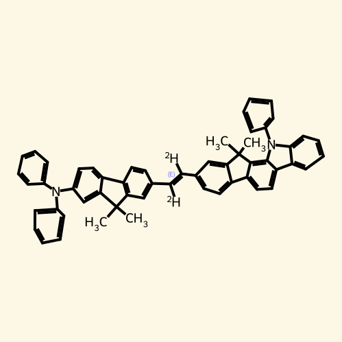 [2H]/C(=C(/[2H])c1ccc2c(c1)C(C)(C)c1c-2ccc2c3ccccc3n(-c3ccccc3)c12)c1ccc2c(c1)C(C)(C)c1cc(N(c3ccccc3)c3ccccc3)ccc1-2